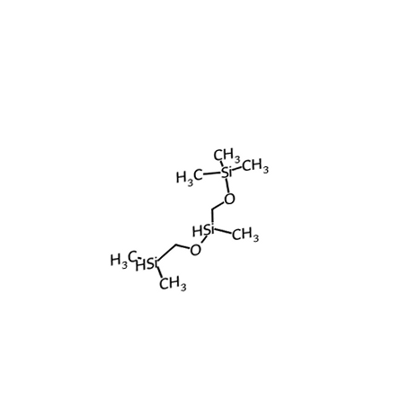 C[SiH](C)CO[SiH](C)CO[Si](C)(C)C